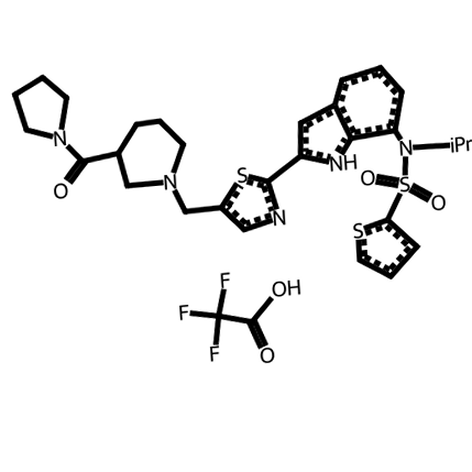 CC(C)N(c1cccc2cc(-c3ncc(CN4CCCC(C(=O)N5CCCC5)C4)s3)[nH]c12)S(=O)(=O)c1cccs1.O=C(O)C(F)(F)F